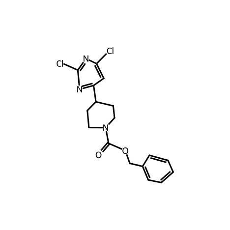 O=C(OCc1ccccc1)N1CCC(c2cc(Cl)nc(Cl)n2)CC1